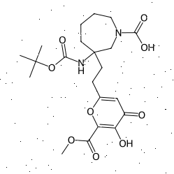 COC(=O)c1oc(CCC2(NC(=O)OC(C)(C)C)CCCCN(C(=O)O)C2)cc(=O)c1O